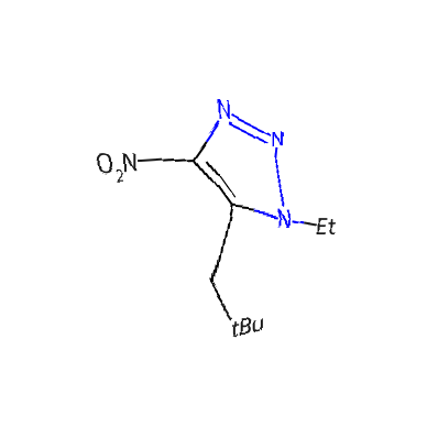 CCn1nnc([N+](=O)[O-])c1CC(C)(C)C